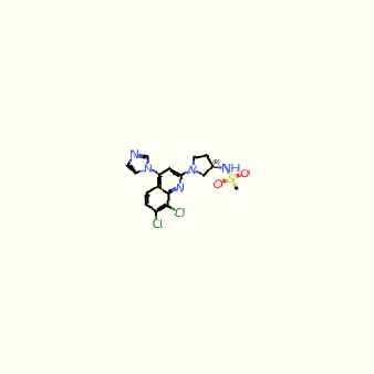 CS(=O)(=O)N[C@@H]1CCN(c2cc(-n3ccnc3)c3ccc(Cl)c(Cl)c3n2)C1